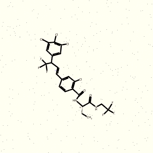 CC[C@H](NC(=O)c1ccc(/C=C/C(c2cc(Cl)c(Cl)c(Cl)c2)C(F)(F)F)cc1Cl)C(=O)NCC(F)(F)F